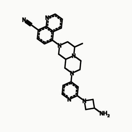 CC1CN(c2ccc(C#N)c3ncccc23)CC2CN(c3ccnc(N4CC(N)C4)c3)CCN12